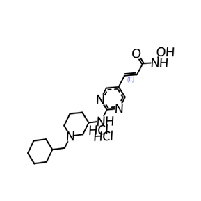 Cl.Cl.O=C(/C=C/c1cnc(NC2CCCN(CC3CCCCC3)C2)nc1)NO